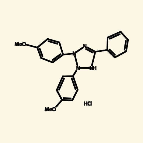 COc1ccc(N2N=C(c3ccccc3)NN2c2ccc(OC)cc2)cc1.Cl